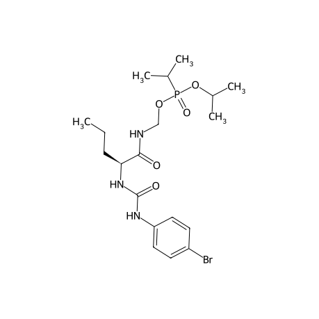 CCC[C@H](NC(=O)Nc1ccc(Br)cc1)C(=O)NCOP(=O)(OC(C)C)C(C)C